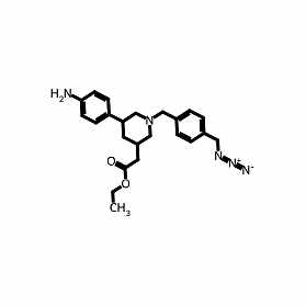 CCOC(=O)CC1CC(c2ccc(N)cc2)CN(Cc2ccc(CN=[N+]=[N-])cc2)C1